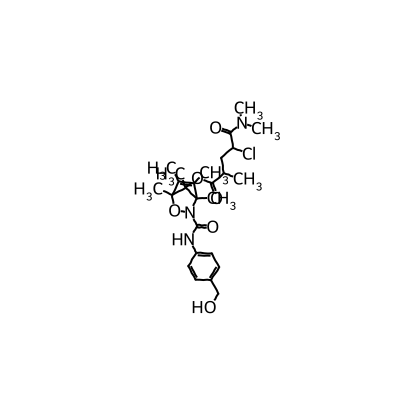 CC1=C(C)C2(C)N(C(=O)Nc3ccc(CO)cc3)OC1(C)C2(C)OC(=O)C(C)CC(Cl)C(=O)N(C)C